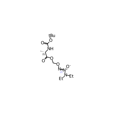 CCN(CC)/[N+]([O-])=N/OCOC(=O)[C@H](C)NC(=O)OC(C)(C)C